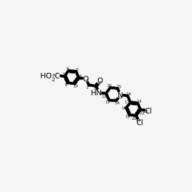 O=C(COc1ccc(C(=O)O)cc1)NC1CCN(Cc2ccc(Cl)c(Cl)c2)CC1